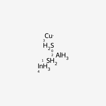 S.S.[AlH3].[Cu].[InH3]